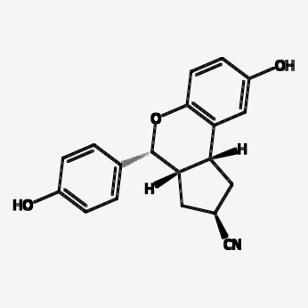 N#C[C@H]1C[C@H]2[C@@H](C1)c1cc(O)ccc1O[C@H]2c1ccc(O)cc1